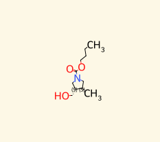 CCCCOC(=O)N1C[C@@H](CO)[C@H](C)C1